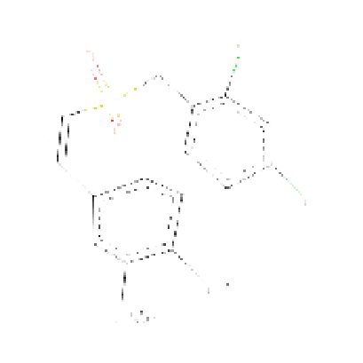 COc1cc(/C=C\S(=O)(=O)Cc2ccc(Cl)cc2Cl)ccc1OC(C)=O